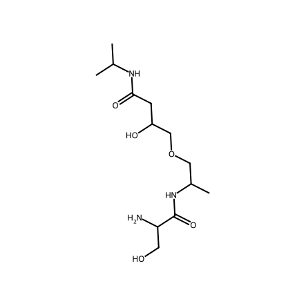 CC(C)NC(=O)CC(O)COCC(C)NC(=O)C(N)CO